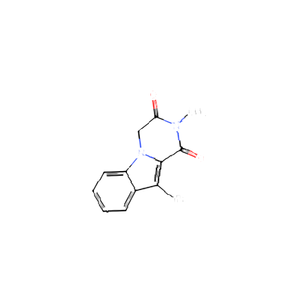 CC(C)c1c2n(c3ccccc13)CC(=O)N(C)C2=O